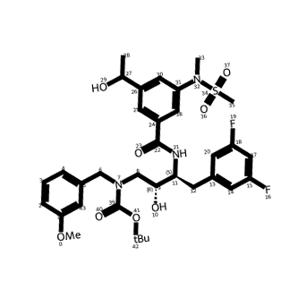 COc1cccc(CN(C[C@@H](O)[C@H](Cc2cc(F)cc(F)c2)NC(=O)c2cc(C(C)O)cc(N(C)S(C)(=O)=O)c2)C(=O)OC(C)(C)C)c1